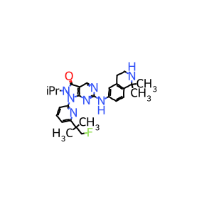 CC(C)n1c(=O)c2cnc(Nc3ccc4c(c3)CCNC4(C)C)nc2n1-c1cccc(C(C)(C)CF)n1